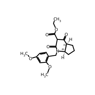 CCOC(=O)C1C(=O)[C@H]2CCC[C@H]2N(Cc2ccc(OC)cc2OC)C1=O